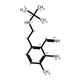 Cc1ccc(CCNC(C)(C)C)c(C=N)c1N